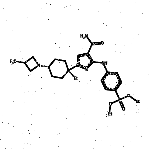 CCOP(=O)(OCC)c1ccc(Nc2nn([C@]3(CC)CC[C@@H](N4CC(C(F)(F)F)C4)CC3)cc2C(N)=O)cc1